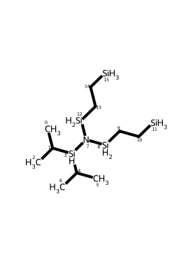 CC(C)[SiH](C(C)C)N([SiH2]CC[SiH3])[SiH2]CC[SiH3]